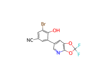 N#Cc1cc(Br)c(O)c(-c2cnc3c(c2)OC(F)(F)O3)c1